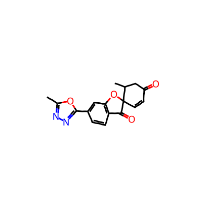 Cc1nnc(-c2ccc3c(c2)OC2(C=CC(=O)CC2C)C3=O)o1